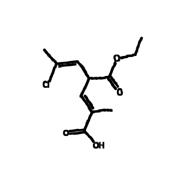 CCOC(=O)C(C=C(C)Cl)C=C(C)C(=O)O